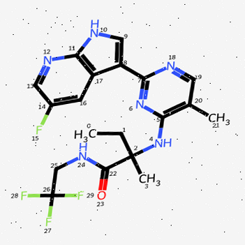 CCC(C)(Nc1nc(-c2c[nH]c3ncc(F)cc23)ncc1C)C(=O)NCC(F)(F)F